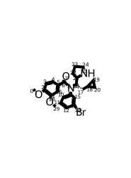 COc1ccc(C(=O)N(c2cccc(Br)c2)[C@@H](CC2CC2)C2CCCN2)cc1OC